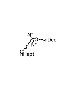 CCCCCCCCCCCCCCOCC(CCCCCCCCOCCCCCCC)(CC[N+](C)(C)C)CC[N+](C)(C)C